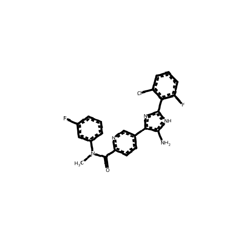 CN(C(=O)c1ccc(-c2nc(-c3c(F)cccc3Cl)[nH]c2N)cn1)c1cccc(F)c1